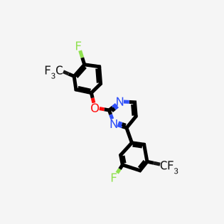 Fc1cc(-c2ccnc(Oc3ccc(F)c(C(F)(F)F)c3)n2)cc(C(F)(F)F)c1